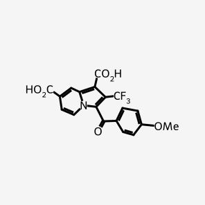 COc1ccc(C(=O)c2c(C(F)(F)F)c(C(=O)O)c3cc(C(=O)O)ccn23)cc1